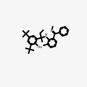 CCC(C)(Pc1c(C)cccc1/C(=N/C)c1ccccc1)c1cc(C(C)(C)C)cc(C(C)(C)C)c1O